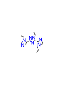 C=CCn1ccnc1-c1nc(-c2cncn2C=C)nn1C=C